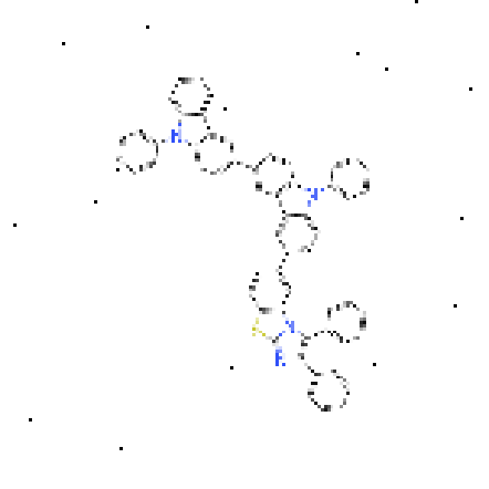 c1ccc(-c2nc3sc4ccc(-c5ccc6c(c5)c5cc(-c7ccc8c(c7)c7ccccc7n8-c7ccccc7)ccc5n6-c5ccccc5)cc4n3c2-c2ccccc2)cc1